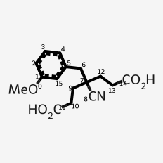 COc1cccc(CC(C#N)(CCC(=O)O)CCC(=O)O)c1